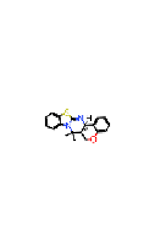 CC1(C)C2COc3ccccc3[C@@H]2N=C2Sc3ccccc3N21